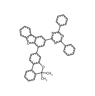 CC1(C)Oc2cc(-c3cc(-c4nc(-c5ccccc5)nc(-c5ccccc5)n4)cc4c3oc3ccccc34)ccc2-c2ccccc21